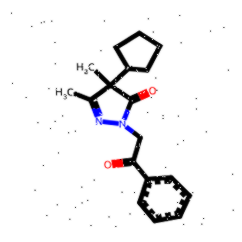 CC1=NN(CC(=O)c2ccccc2)C(=O)C1(C)C1CCCC1